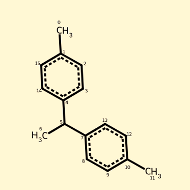 Cc1ccc(C(C)c2ccc(C)cc2)cc1